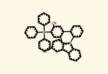 N#Cc1ccc2c(c1)c1ccccc1n2-c1ccccc1-c1cc(C#N)c([Si](c2ccccc2)(c2ccccc2)c2ccccc2)cc1C#N